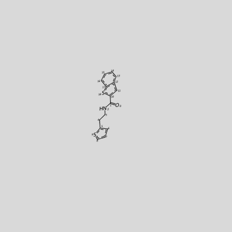 O=C(NCCc1cccs1)c1cc2ccccc2s1